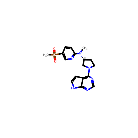 CN(c1ccc(S(C)(=O)=O)cn1)[C@@H]1CCN(c2ncnc3[nH]ccc23)C1